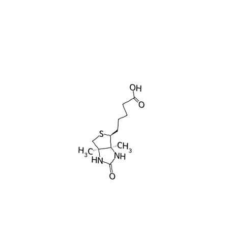 C[C@]12CS[C@@H](CCCCC(=O)O)[C@@]1(C)NC(=O)N2